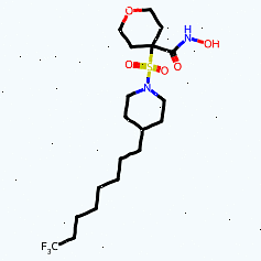 O=C(NO)C1(S(=O)(=O)N2CCC(CCCCCCCC(F)(F)F)CC2)CCOCC1